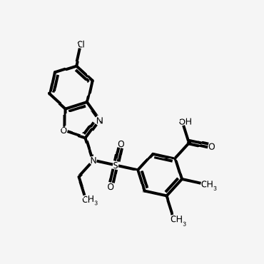 CCN(c1nc2cc(Cl)ccc2o1)S(=O)(=O)c1cc(C)c(C)c(C(=O)O)c1